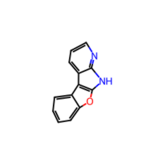 c1ccc2c(c1)oc1[nH]c3ncccc3c12